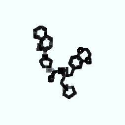 O=C(NC(Cc1ccc2c(c1)OCCO2)CN1CCCC1)[C@@H]1CCN(c2ccc3ccccc3n2)C1